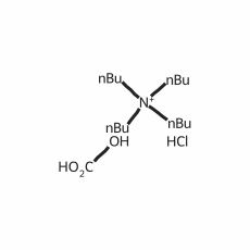 CCCC[N+](CCCC)(CCCC)CCCC.Cl.O=C(O)O